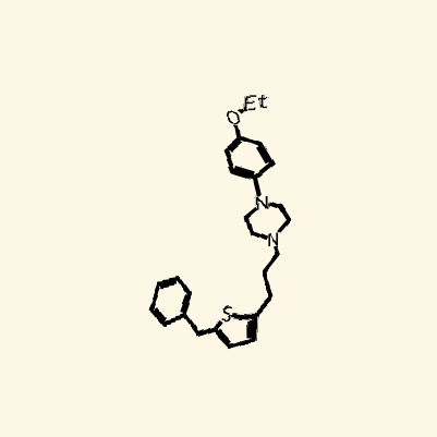 CCOc1ccc(N2CCN(CCCc3ccc(Cc4ccccc4)s3)CC2)cc1